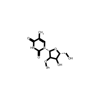 Cc1cn([C@@H]2O[C@H](CO)C(O)C2OC(C)C)c(=O)[nH]c1=O